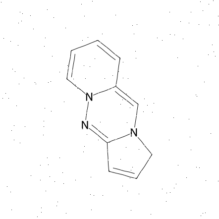 C1=CC2=CN3CC=CC3=NN2C=C1